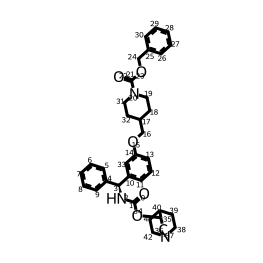 O=C(N[C@@H](c1ccccc1)c1cccc(OCC2CCN(C(=O)OCc3ccccc3)CC2)c1)OC1CN2CCC1CC2